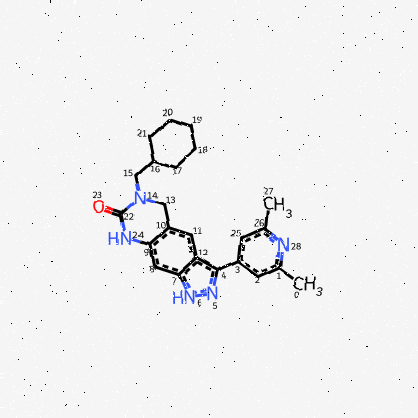 Cc1cc(-c2n[nH]c3cc4c(cc23)CN(CC2CCCCC2)C(=O)N4)cc(C)n1